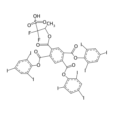 CC(OC(=O)c1cc(C(=O)Oc2c(I)cc(I)cc2I)c(C(=O)Oc2c(I)cc(I)cc2I)cc1C(=O)Oc1c(I)cc(I)cc1I)C(F)(F)S(=O)(=O)O